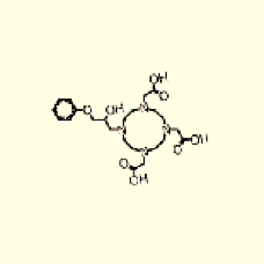 O=C(O)CN1CCN(CC(=O)O)CCN(CC(O)COc2ccccc2)CCN(CC(=O)O)CC1